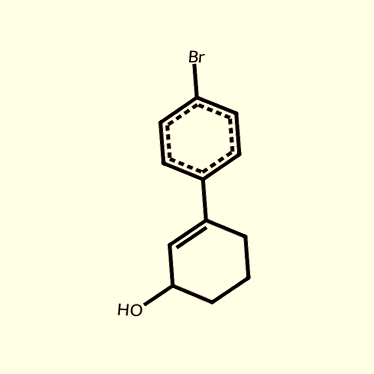 OC1C=C(c2ccc(Br)cc2)CCC1